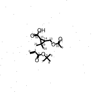 C=CC(=O)OC(C)(C)C.CC(=O)OCC1C(C(=O)O)C1(C)C